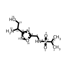 CC(C)S(=O)(=O)NCc1nc(C(N)CO)no1